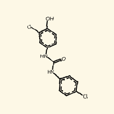 O=C(Nc1ccc(Cl)cc1)Nc1ccc(O)c(Cl)c1